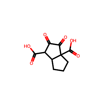 O=C(O)C1C(=O)C(=O)C2(C(=O)O)CCCC12